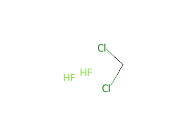 ClCCl.F.F